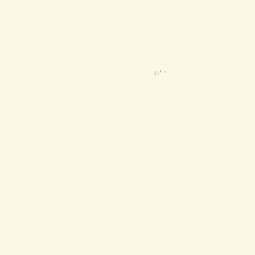 COC(=O)COc1c(C)cc(C)cc1-c1ccoc1